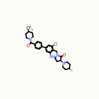 Nc1cc(-c2ccc(C(=O)N3CCC(C(F)(F)F)CC3)cc2)cc(Cl)c1CN1CCC(N2CCC(F)CC2)C1=O